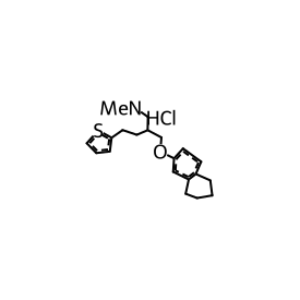 CNCC(CCc1cccs1)COc1ccc2c(c1)CCCC2.Cl